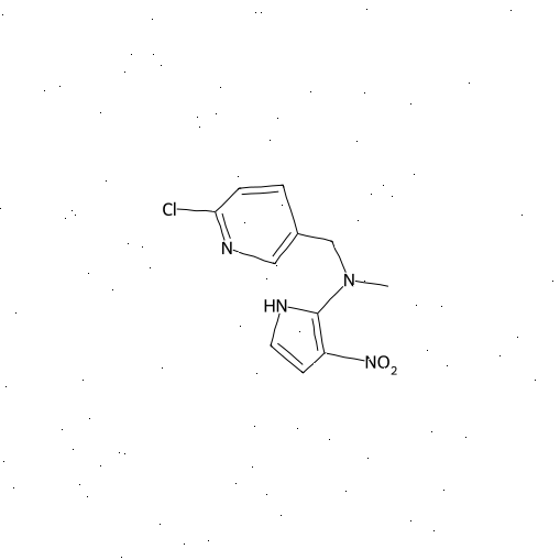 CN(Cc1ccc(Cl)nc1)c1[nH]ccc1[N+](=O)[O-]